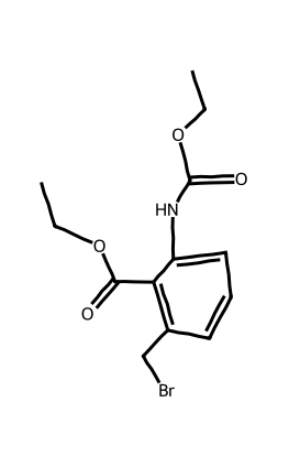 CCOC(=O)Nc1cccc(CBr)c1C(=O)OCC